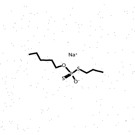 CCCCCOP([O-])(=S)SCCC.[Na+]